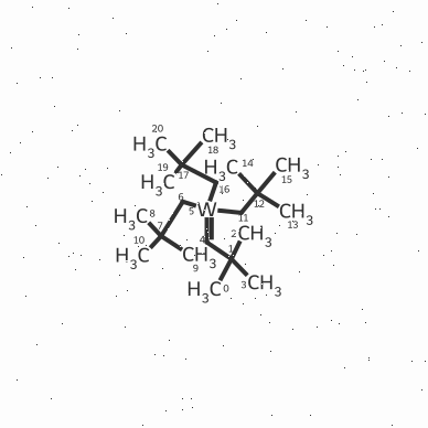 CC(C)(C)[CH]=[W]([CH2]C(C)(C)C)([CH2]C(C)(C)C)[CH2]C(C)(C)C